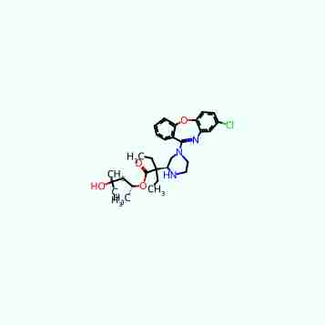 CCC(CC)(C(=O)O[C@H](C)CC(C)(C)O)[C@H]1CN(C2=Nc3cc(Cl)ccc3Oc3ccccc32)CCN1